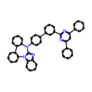 c1ccc(-c2cc(-c3ccccc3)nc(-c3cccc(-c4ccc(N5c6ccccc6-c6ccccc6-n6c5nc5ccccc56)cc4)c3)n2)cc1